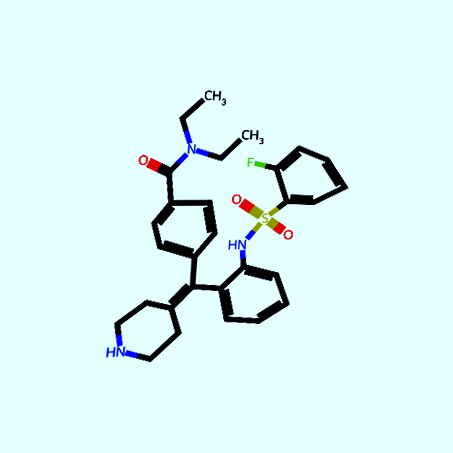 CCN(CC)C(=O)c1ccc(C(=C2CCNCC2)c2ccccc2NS(=O)(=O)c2ccccc2F)cc1